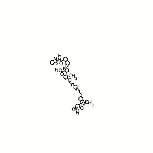 Cc1c(OCC2CC3(CCN(CCCc4ccc5c(C6CCC(=O)NC6=O)nn(C)c5c4)CC3)C2)cccc1-c1ccc(N2CCc3cccc(C(=O)Nc4nc5ccccc5s4)c3C2)nc1C(=O)O